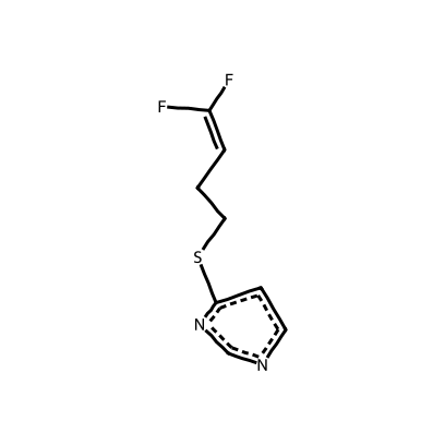 FC(F)=CCCSc1ccncn1